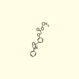 CCOC(=O)COc1cccc(C2=N[C@@H](c3ccccc3)CO2)c1